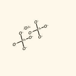 [O+2].[O-][I+3]([O-])([O-])[O-].[O-][I+3]([O-])([O-])[O-]